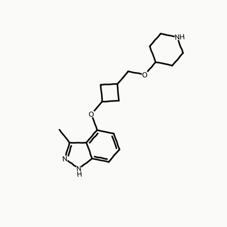 Cc1n[nH]c2cccc(OC3CC(COC4CCNCC4)C3)c12